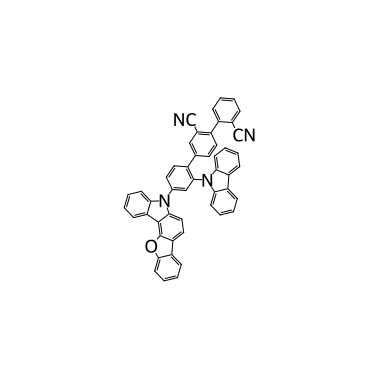 N#Cc1ccccc1-c1ccc(-c2ccc(-n3c4ccccc4c4c5oc6ccccc6c5ccc43)cc2-n2c3ccccc3c3ccccc32)cc1C#N